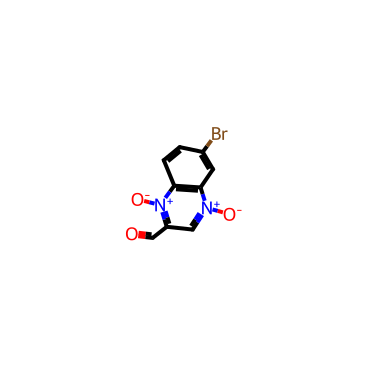 O=Cc1c[n+]([O-])c2cc(Br)ccc2[n+]1[O-]